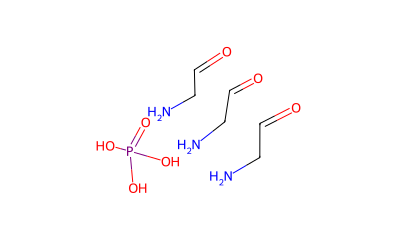 NCC=O.NCC=O.NCC=O.O=P(O)(O)O